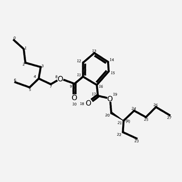 CCCCC(CC)COC(=O)c1ccccc1C(=O)OC[C@H](CC)CCCC